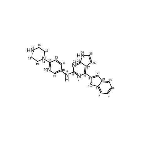 c1ccc2sc(-c3nc(Nc4ccc(N5CCNCC5)nc4)nc4[nH]ccc34)cc2c1